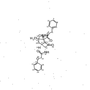 CS[C@@]1(C(=O)OCc2ccccc2)N2C(=O)[C@H](NC(=O)COc3ccccc3)[C@H]2SC1(C)C